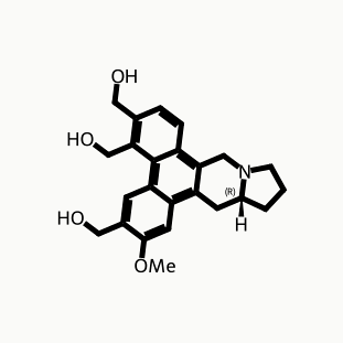 COc1cc2c3c(c4ccc(CO)c(CO)c4c2cc1CO)CN1CCC[C@@H]1C3